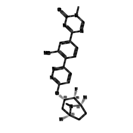 CN1[C@H]2CC[C@@H]1[C@@H](F)[C@@H](Oc1ccc(-c3ccc(-c4ncn(C)c(=O)n4)cc3O)nn1)C2